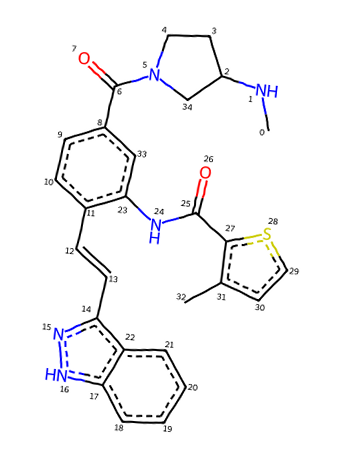 CNC1CCN(C(=O)c2ccc(C=Cc3n[nH]c4ccccc34)c(NC(=O)c3sccc3C)c2)C1